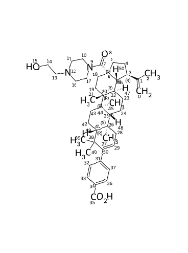 C=C(C)[C@@H]1CC[C@]2(C(=O)N3CCN(CCO)CC3)CC[C@]3(C)[C@H](CC[C@@H]4[C@@]5(C)CC=C(c6ccc(C(=O)O)cc6)C(C)(C)[C@@H]5CC[C@]43C)[C@@H]12